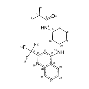 CC(C)C(=O)N[C@@H]1CCC[C@H](Nc2cc(C(F)(F)F)nc3ccccc23)C1